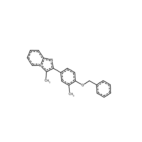 Cc1cc(-c2nc3ccccn3c2C)ccc1OCc1ccccc1